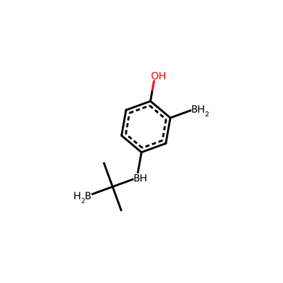 Bc1cc(BC(B)(C)C)ccc1O